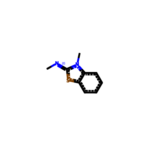 C/N=c1\sc2ccccc2n1C